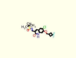 CC(C)(C)[S+]([O-])N=Cc1cc2cc(Cl)c(OCC3CC(F)(F)C3)cc2[nH]c1=O